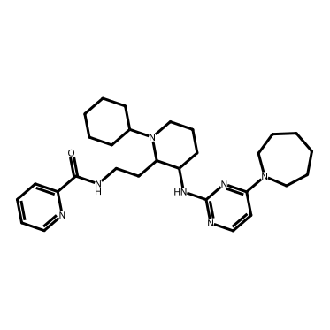 O=C(NCCC1C(Nc2nccc(N3CCCCCC3)n2)CCCN1C1CCCCC1)c1ccccn1